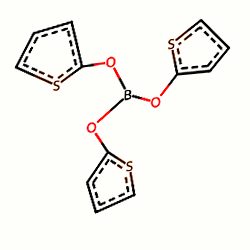 c1csc(OB(Oc2cccs2)Oc2cccs2)c1